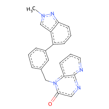 Cn1cc2c(-c3cccc(Cn4c(=O)cnc5ncccc54)c3)cccc2n1